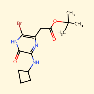 CC(C)(C)OC(=O)Cc1nc(NC2CCC2)c(=O)[nH]c1Br